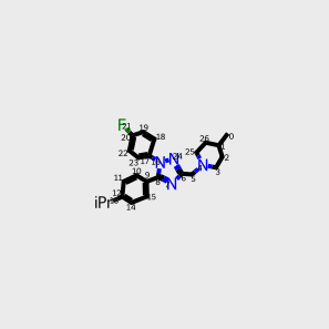 CC1CCN(Cc2nc(-c3ccc(C(C)C)cc3)n(-c3ccc(F)cc3)n2)CC1